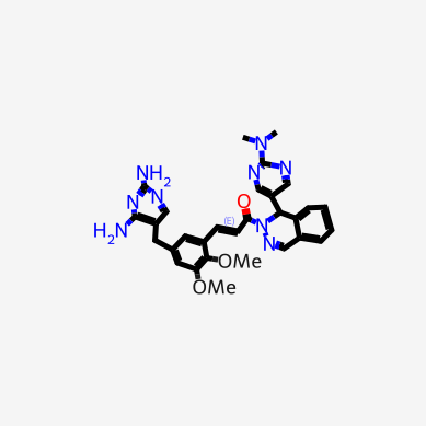 COc1cc(Cc2cnc(N)nc2N)cc(/C=C/C(=O)N2N=Cc3ccccc3C2c2cnc(N(C)C)nc2)c1OC